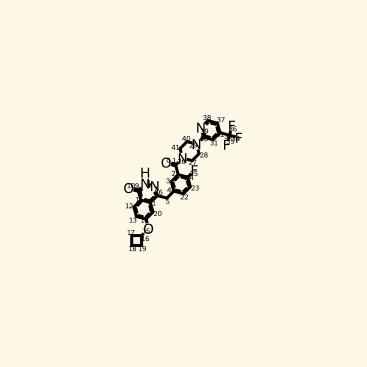 O=C(c1cc(Cc2n[nH]c(=O)c3ccc(OC4CCC4)cc23)ccc1F)N1CCN(c2cc(C(F)(F)F)ccn2)CC1